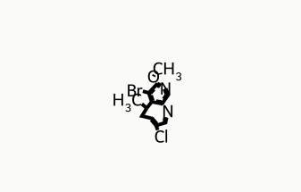 COc1ncc2c(c1Br)C(C)C/C=C(Cl)/C=N\2